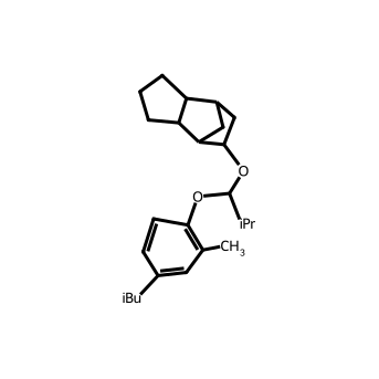 CCC(C)c1ccc(OC(OC2CC3CC2C2CCCC32)C(C)C)c(C)c1